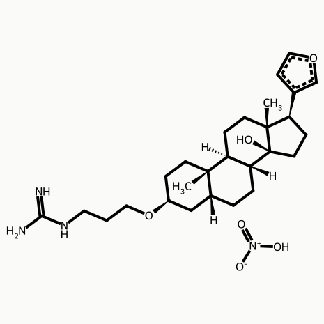 C[C@]12CC[C@H](OCCCNC(=N)N)C[C@H]1CC[C@@H]1[C@@H]2CC[C@]2(C)[C@@H](c3ccoc3)CC[C@]12O.O=[N+]([O-])O